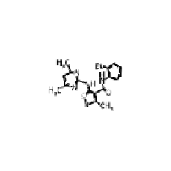 CCc1ccccc1NC(=O)c1c(C)nsc1Nc1nc(C)cc(C)n1